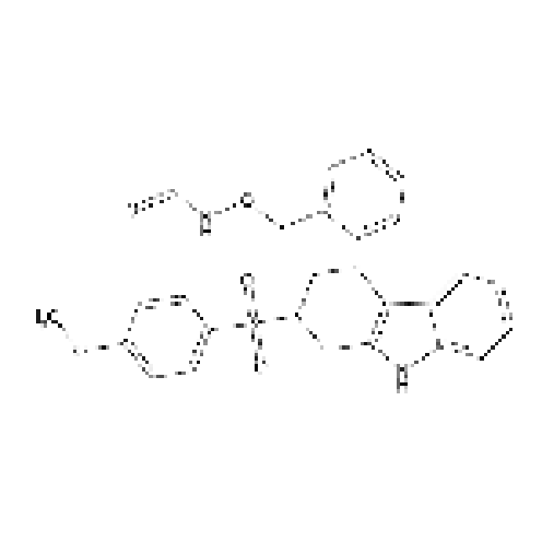 COc1ccc(S(=O)(=O)N2CCc3c([nH]c4ccccc34)C2)cc1.O=CNOCc1ccccc1